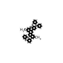 Cc1ccc2c(N(c3ccccc3)c3ccccc3F)cc3c4cc(C)cc5c4c(cc3c2c1)-c1ccc(N(c2ccccc2)c2ccccc2F)cc1O5